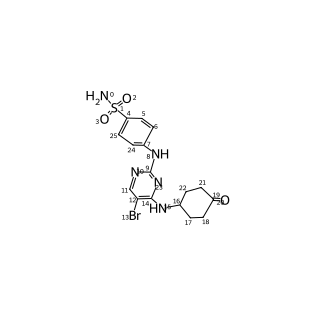 NS(=O)(=O)c1ccc(Nc2ncc(Br)c(NC3CCC(=O)CC3)n2)cc1